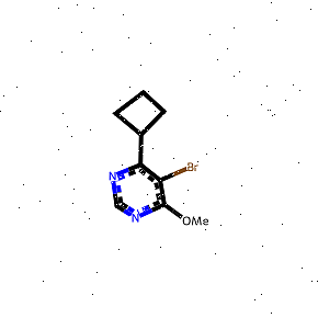 COc1ncnc(C2CCC2)c1Br